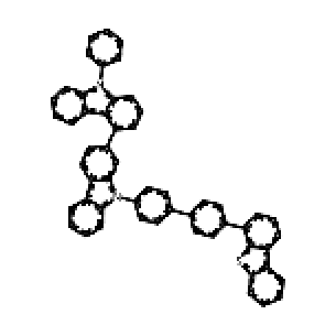 c1ccc(-n2c3ccccc3c3c(-c4ccc5c6ccccc6n(-c6ccc(-c7ccc(-c8cccc9c8sc8ccccc89)cc7)cc6)c5c4)cccc32)cc1